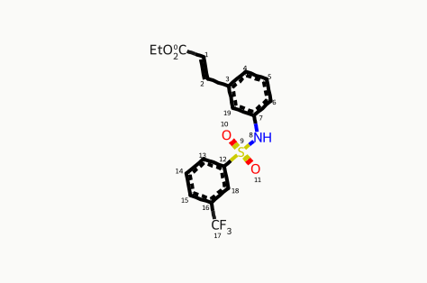 CCOC(=O)/C=C/c1cccc(NS(=O)(=O)c2cccc(C(F)(F)F)c2)c1